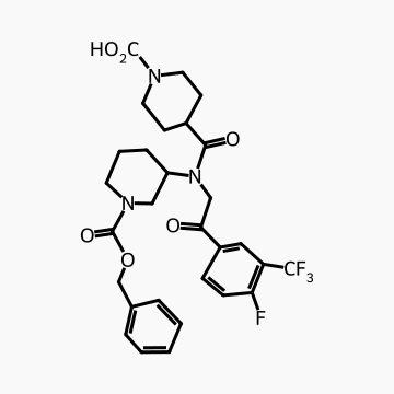 O=C(CN(C(=O)C1CCN(C(=O)O)CC1)C1CCCN(C(=O)OCc2ccccc2)C1)c1ccc(F)c(C(F)(F)F)c1